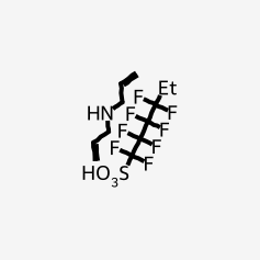 C=CCNCC=C.CCC(F)(F)C(F)(F)C(F)(F)C(F)(F)S(=O)(=O)O